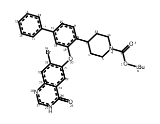 CC(C)(C)OC(=O)N1CCC(c2ccc(-c3ccccc3)cc2Oc2cc3c(=O)[nH]cnc3cc2Br)CC1